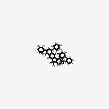 CC1(C)c2ccccc2-c2ccc(N(c3ccccc3-c3ccc4oc5ccccc5c4c3)c3cccc4c3-c3ccccc3C4(C)C)cc21